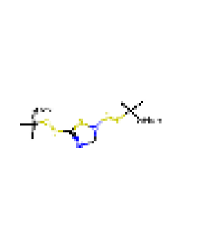 CCCCCCC(C)(C)SSC1=NCN(SSC(C)(C)CCCCCC)S1